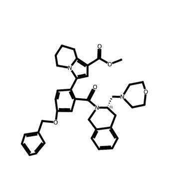 COC(=O)c1cc(-c2ccc(OCc3ccccc3)cc2C(=O)N2Cc3ccccc3C[C@H]2CN2CCOCC2)n2c1CCCC2